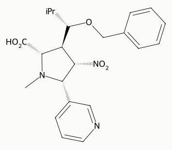 CC(C)[C@H](OCc1ccccc1)[C@H]1[C@H]([N+](=O)[O-])[C@H](c2cccnc2)N(C)[C@@H]1C(=O)O